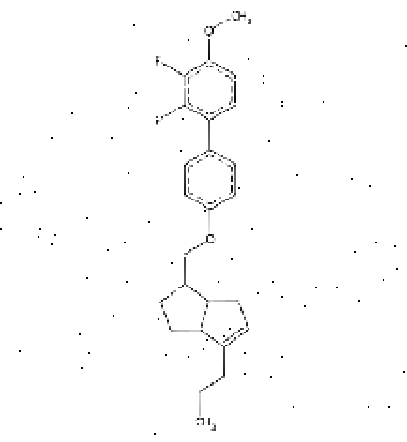 CCCC1=CCC2C(COc3ccc(-c4ccc(OC)c(F)c4F)cc3)CCC12